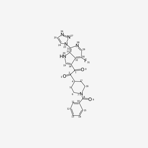 O=C(C(=O)C1CCN(C(=O)c2ccccc2)CC1)c1c[nH]c2c(-n3ccnn3)ncc(F)c12